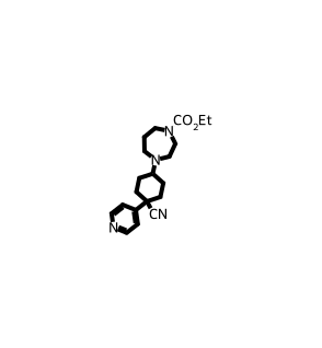 CCOC(=O)N1CCCN(C2CCC(C#N)(c3ccncc3)CC2)CC1